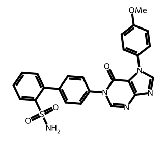 COc1ccc(-n2cnc3ncn(-c4ccc(-c5ccccc5S(N)(=O)=O)cc4)c(=O)c32)cc1